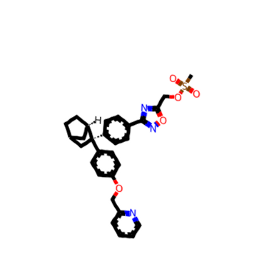 CS(=O)(=O)OCc1nc(-c2ccc([C@]3(c4ccc(OCc5ccccn5)cc4)CC4CC[C@@H]3C4)cc2)no1